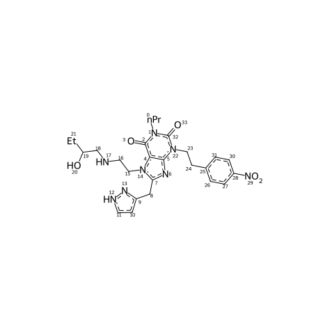 CCCn1c(=O)c2c(nc(Cc3cc[nH]n3)n2CCNCC(O)CC)n(CCc2ccc([N+](=O)[O-])cc2)c1=O